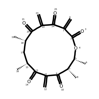 C=C1C(=O)O[C@H](C)[C@H](C)C(=O)C(=C)C(=O)[C@H](C)C[C@H](C)C(=O)C(=C)C1=O